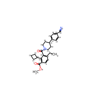 CCc1ccc(C(=O)OC)c(C2CCC2)c1C(=O)N1CCC(c2ccc(C#N)cc2)CC1